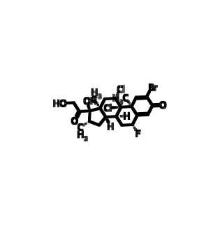 C[C@H]1C[C@H]2[C@@H]3C[C@@H](F)C4=CC(=O)C(Br)=C[C@]4(C)[C@@]3(Cl)[C@@H](Cl)C[C@]2(C)[C@@]1(O)C(=O)CO